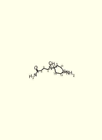 CN(CCCC(N)=O)C1CCN(N)CC1